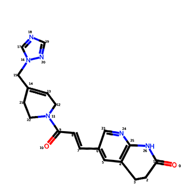 O=C1CCc2cc(C=CC(=O)N3CC=C(Cn4cncn4)CC3)cnc2N1